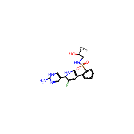 C[C@H](O)CNS(=O)(=O)c1ccccc1C1=CNC(C2=CNC(N)N=C2)C(F)=C1